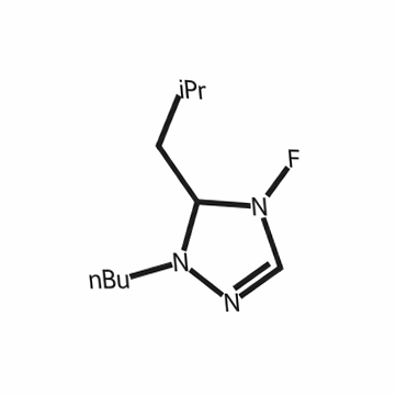 CCCCN1N=CN(F)C1CC(C)C